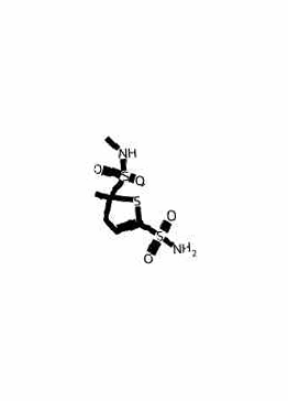 CNS(=O)(=O)C1(C)CC=C(S(N)(=O)=O)S1